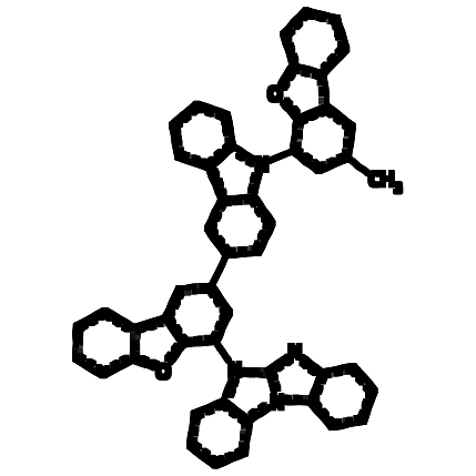 Cc1cc(-n2c3ccccc3c3cc(-c4cc(-n5c6ccccc6n6c7ccccc7nc56)c5oc6ccccc6c5c4)ccc32)c2oc3ccccc3c2c1